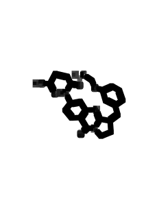 CCOc1cccc(/C=C2/CCn3c2nc2cc(NC(=O)/C=C\C(=O)O)ccc2c3=O)c1